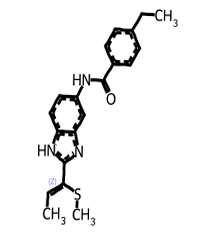 C/C=C(\SC)c1nc2cc(NC(=O)c3ccc(CC)cc3)ccc2[nH]1